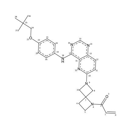 C=CC(=O)N1CCC12CN(c1ccc3ncnc(Nc4ccc(OCC(C)(C)C)cc4)c3n1)C2